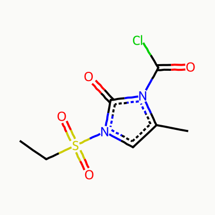 CCS(=O)(=O)n1cc(C)n(C(=O)Cl)c1=O